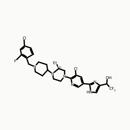 CC[C@H]1CN(c2ncc(-c3nc(C(O)C(F)(F)F)c[nH]3)cc2Cl)CCN1C1CCN(Cc2ccc(Cl)cc2F)CC1